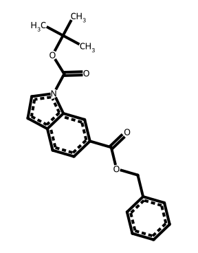 CC(C)(C)OC(=O)n1ccc2ccc(C(=O)OCc3ccccc3)cc21